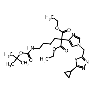 CCOC(=O)C(CCCCNC(=O)OC(C)(C)C)(C(=O)OCC)c1cn(Cc2nnc(C3CC3)s2)cn1